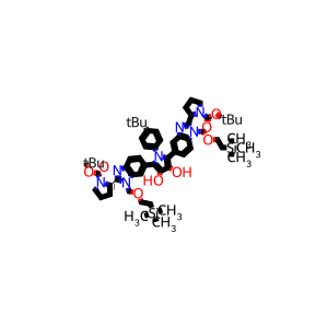 CC(C)(C)OC(=O)N1CCCC1c1nc2cc(-c3c(O)c(O)c(-c4ccc5nc([C@@H]6CCCN6C(=O)OC(C)(C)C)n(COCC[Si](C)(C)C)c5c4)n3-c3ccc(C(C)(C)C)cc3)ccc2n1COCC[Si](C)(C)C